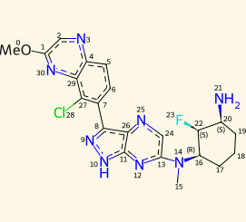 COc1cnc2ccc(-c3n[nH]c4nc(N(C)[C@@H]5CCC[C@H](N)[C@@H]5F)cnc34)c(Cl)c2n1